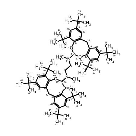 CN(CCN(C)P1Oc2c(cc(C(C)(C)C)cc2C(C)(C)C)Cc2cc(C(C)(C)C)cc(C(C)(C)C)c2O1)P1Oc2c(cc(C(C)(C)C)cc2C(C)(C)C)Cc2cc(C(C)(C)C)cc(C(C)(C)C)c2O1